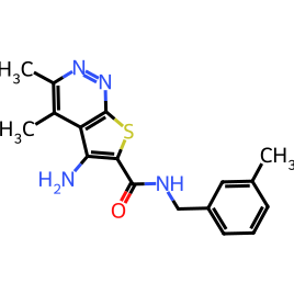 Cc1cccc(CNC(=O)c2sc3nnc(C)c(C)c3c2N)c1